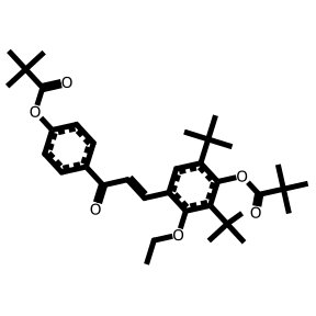 CCOc1c(C=CC(=O)c2ccc(OC(=O)C(C)(C)C)cc2)cc(C(C)(C)C)c(OC(=O)C(C)(C)C)c1C(C)(C)C